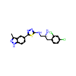 Cc1n[nH]c2ccc(-c3nnc(NC[C@@H](N)Cc4ccc(Cl)cc4Cl)s3)cc12